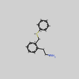 NCCc1ccccc1[CH]Sc1ccccc1